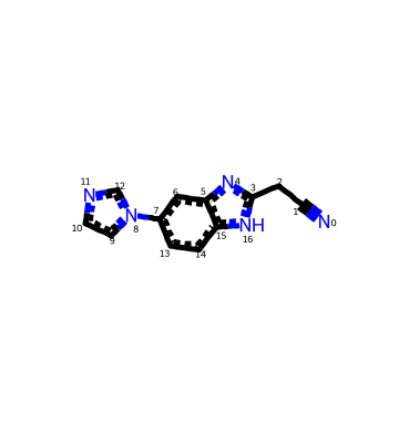 N#CCc1nc2cc(-n3ccnc3)ccc2[nH]1